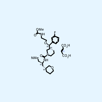 CNC[C@H](C[C@H]1CCCOC1)NC(=O)N1CCC[C@@H]([C@@H](OCCNC(=O)OC)c2cccc(F)c2)C1.O=C(O)/C=C/C(=O)O